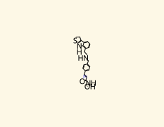 O=C(/C=C/c1ccc(CNCCc2cccc3c4c([nH]c23)SCC4)cc1)NO